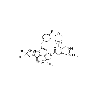 C[C@@H]1CN(CC(=O)N2CC(C)(C)c3c2cc(Cc2ccc(F)cc2)c2nn(CC(C)(C)O)c(=O)n32)[C@@H](CN2C3CCC2COC3)CN1